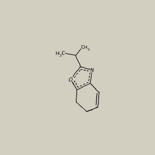 CC(C)c1nc2c(o1)CCC=C2